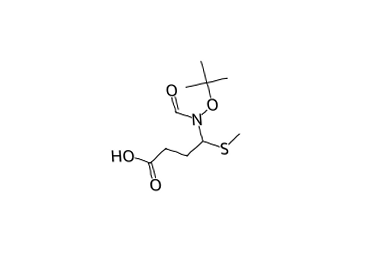 CSC(CCC(=O)O)N(C=O)OC(C)(C)C